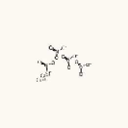 O=[N+]([O-])[O-].O=[N+]([O-])[O-].O=[N+]([O-])[O-].O=[N+]([O-])[O-].[Ca+2].[Cu+2]